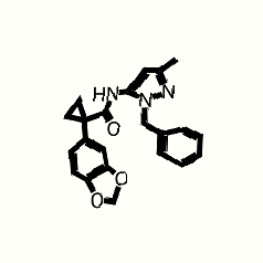 Cc1cc(NC(=O)C2(c3ccc4c(c3)OCO4)CC2)n(Cc2ccccc2)n1